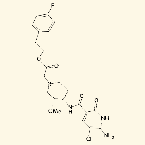 CO[C@@H]1CN(CC(=O)OCCc2ccc(F)cc2)CC[C@@H]1NC(=O)c1cc(Cl)c(N)[nH]c1=O